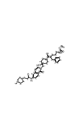 CN1CCN(CCC(=O)Nc2ccc3c(=O)n(CC4(O)CCN(C(=O)C(CCCNC(=O)OC(C)(C)C)Cc5ccccc5)CC4)cnc3c2)CC1